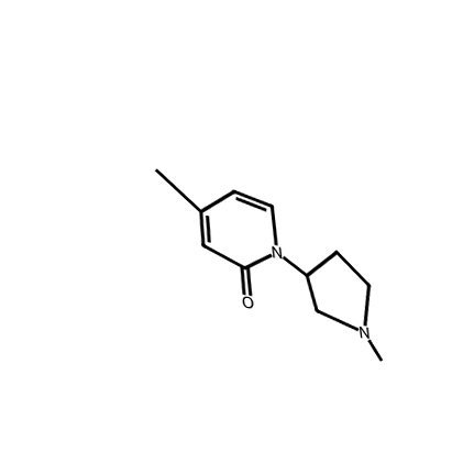 Cc1ccn(C2CCN(C)C2)c(=O)c1